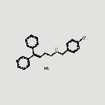 Cl.FC(F)(F)c1ccc(CNCCC=C(c2ccccc2)c2ccccc2)cc1